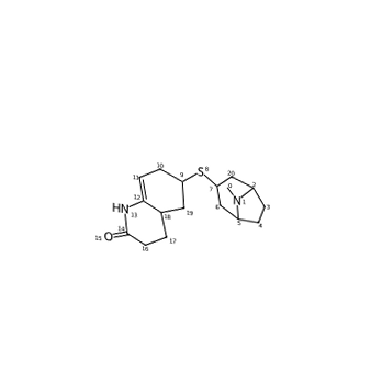 CN1C2CCC1CC(SC1CC=C3NC(=O)CCC3C1)C2